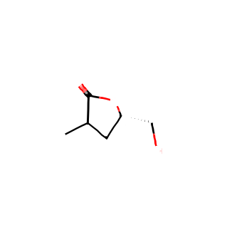 CC1C[C@@H](CO)OC1=O